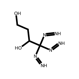 N=NC(N=N)(N=N)C(O)CCO